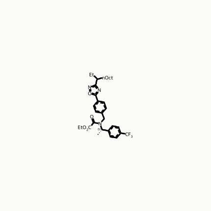 CCCCCCCCC(CC)c1noc(-c2ccc(CN(C(=O)C(=O)OCC)[C@@H](C)c3ccc(C(F)(F)F)cc3)cc2)n1